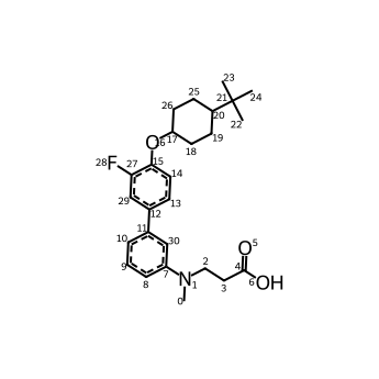 CN(CCC(=O)O)c1cccc(-c2ccc(OC3CCC(C(C)(C)C)CC3)c(F)c2)c1